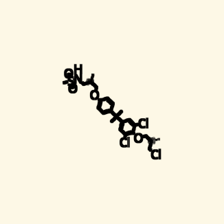 C[C@H](CNS(C)(=O)=O)COc1ccc(C(C)(C)c2cc(Cl)c(OC[C@H](C)CCl)c(Cl)c2)cc1